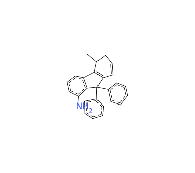 CC1CC=CC2=C1c1cccc(N)c1C2(c1ccccc1)c1ccccc1